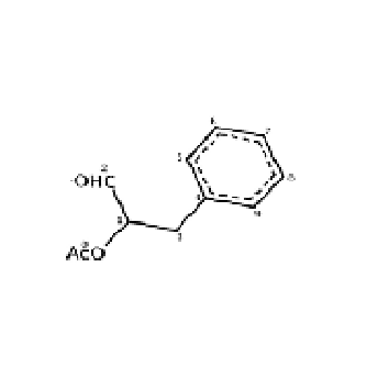 CC(=O)OC([C]=O)Cc1ccccc1